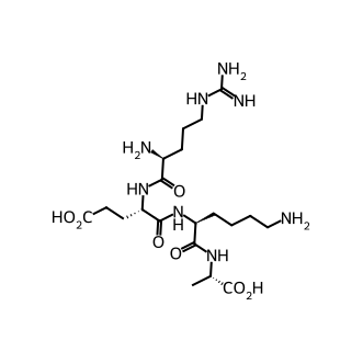 C[C@H](NC(=O)[C@H](CCCCN)NC(=O)[C@H](CCC(=O)O)NC(=O)[C@@H](N)CCCNC(=N)N)C(=O)O